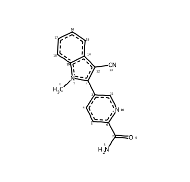 Cn1c(-c2c[c]c(C(N)=O)nc2)c(C#N)c2ccccc21